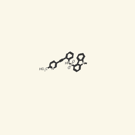 Cn1c2ccccc2c2c(S(=O)(=O)Nc3ccccc3C#Cc3ccc(C(=O)O)nc3)cccc21